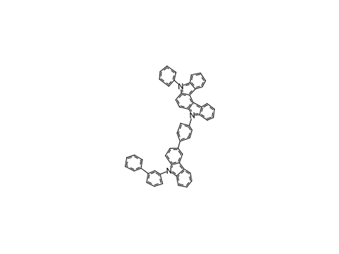 c1ccc(-c2cccc(-n3c4ccccc4c4cc(-c5ccc(-n6c7ccccc7c7c8c9ccccc9n(-c9ccccc9)c8ccc76)cc5)ccc43)c2)cc1